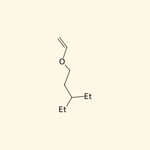 C=COCCC(CC)CC